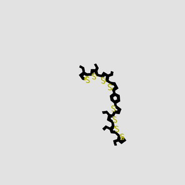 CCc1ccsc1-c1cc(CC)c(-c2cc(CC)c(-c3ccc(-c4ccc(-c5ccc(-c6sc(-c7sc(-c8sccc8CC)cc7CC)cc6CC)s5)cc4)s3)s2)s1